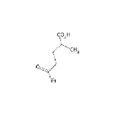 CC(C)C(=O)CCC(C)C(=O)O